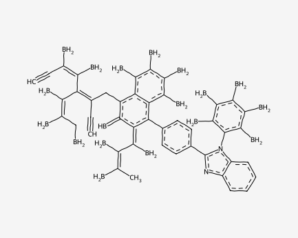 B=c1c(C/C(C#C)=C(C(\B)=C(\B)C#C)/C(B)=C(/B)CB)c2c(B)c(B)c(B)c(B)c2c(-c2ccc(-c3nc4ccccc4n3-c3c(B)c(B)c(B)c(B)c3B)cc2)/c1=C(B)/C(B)=C(/B)C